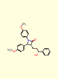 COc1ccc(C2[C@H](CC[C@@H](O)c3ccccc3)C(=O)N2c2ccc(OC)cc2)cc1